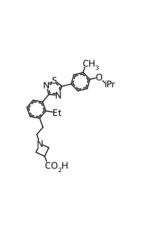 CCc1c(CCN2CC(C(=O)O)C2)cccc1-c1nsc(-c2ccc(OC(C)C)c(C)c2)n1